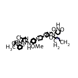 C=C/C=C\C(=C)C(=O)N(CN1CCN(C2CCN(c3ccc(Nc4ncc(Cl)c(Nc5ccccc5P(C)(C)=O)n4)c(OC)c3)CC2)CC1)C1CCC(=O)NC1=O